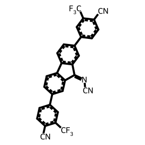 N#CN=C1c2cc(-c3ccc(C#N)c(C(F)(F)F)c3)ccc2-c2ccc(-c3ccc(C#N)c(C(F)(F)F)c3)cc21